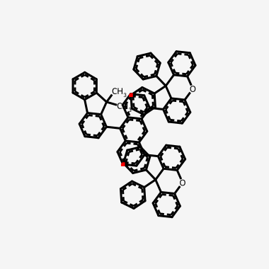 CC1(C)c2ccccc2-c2cccc(-c3c4cccc(-c5cccc6c5C(c5ccccc5)(c5ccccc5)c5ccccc5O6)c4cc4c(-c5cccc6c5C(c5ccccc5)(c5ccccc5)c5ccccc5O6)cccc34)c21